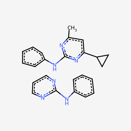 Cc1cc(C2CC2)nc(Nc2ccccc2)n1.c1ccc(Nc2ncccn2)cc1